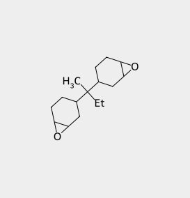 CCC(C)(C1CCC2OC2C1)C1CCC2OC2C1